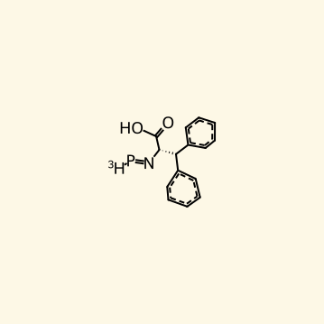 [3H]/P=N/[C@H](C(=O)O)C(c1ccccc1)c1ccccc1